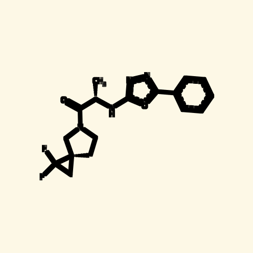 C[C@H](Nc1nnc(-c2ccccc2)o1)C(=O)N1CC[C@]2(C1)CC2(F)F